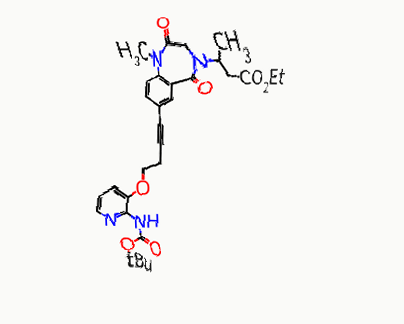 CCOC(=O)CC(C)N1CC(=O)N(C)c2ccc(C#CCCOc3cccnc3NC(=O)OC(C)(C)C)cc2C1=O